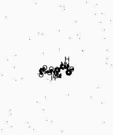 COc1ccccc1-c1c[nH]c2ncc(-c3ccc(NC(=O)OCCN4C(=O)CCC4=O)c(C(=O)N(C)C)c3)cc12